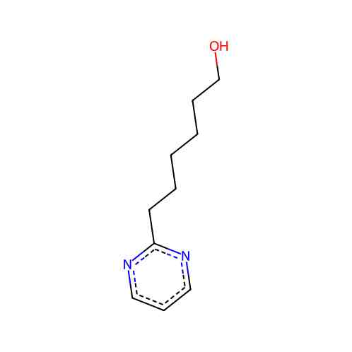 OCCCCCCc1ncccn1